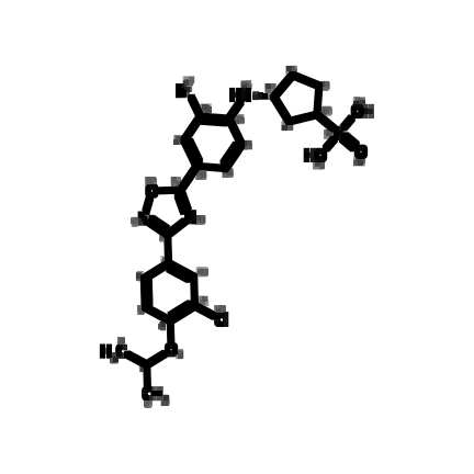 CC(C)Oc1ccc(-c2noc(-c3ccc(N[C@@H]4CCC(P(=O)(O)O)C4)c(Br)c3)n2)cc1Cl